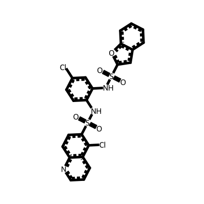 O=S(=O)(Nc1cc(Cl)ccc1NS(=O)(=O)c1ccc2ncccc2c1Cl)c1cc2ccccc2o1